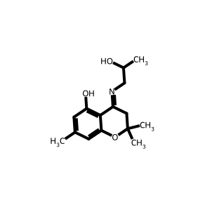 Cc1cc(O)c2c(c1)OC(C)(C)CC2=NCC(C)O